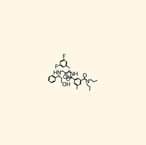 CCCN(CCC)C(=O)c1cc(C)cc(C(=O)N[C@@H](Cc2cc(F)cc(F)c2)[C@H](O)CNC(CCO)c2ccccc2)c1